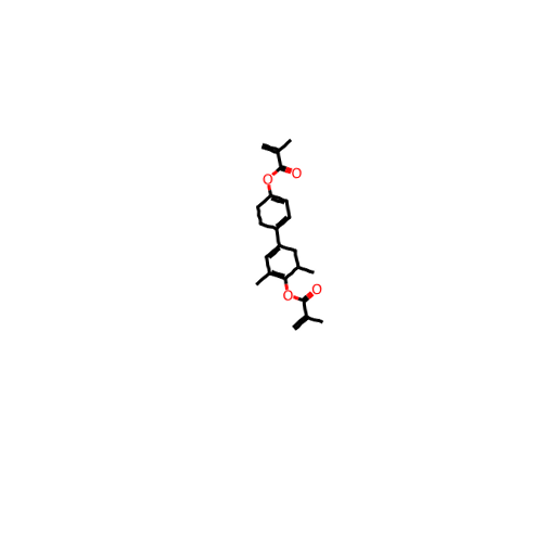 C=C(C)C(=O)OC1=CC=C(C2=CC(C)=C(OC(=O)C(=C)C)C(C)C2)CC1